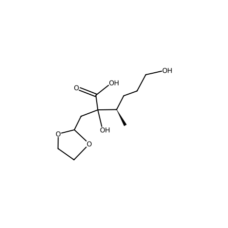 C[C@H](CCCO)C(O)(CC1OCCO1)C(=O)O